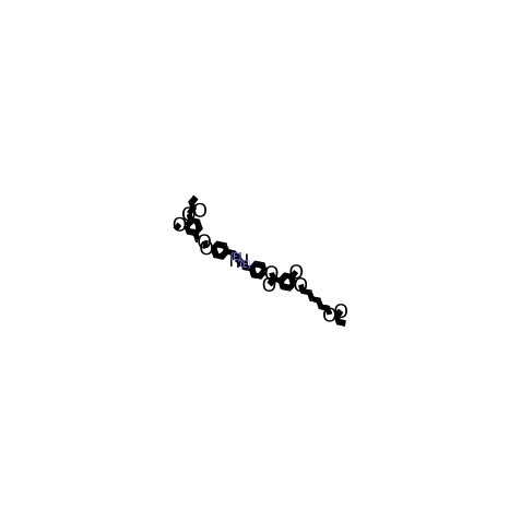 C=CC(=O)OCCCCCCOc1ccc(C(=O)Oc2ccc(/C=N/N=C/c3ccc(OOCc4ccc(OC(=O)C=C)c(OC)c4)cc3)cc2)cc1OC